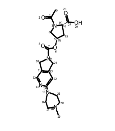 CC(=O)N1C[C@H](OC(=O)N2Cc3cnc(N4CCN(C)CC4)cc3C2)C[C@H]1C(=O)O